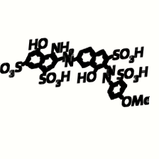 COc1ccc(N=Nc2c(S(=O)(=O)O)cc3ccc(N=Nc4cc(S(=O)(=O)O)c5cc(S(=O)(=O)O)cc(O)c5c4N)cc3c2O)c(S(=O)(=O)O)c1